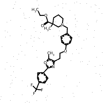 CCOC(=O)C1(C)CCCN(Cc2ccc(OCCc3nc(-c4ccc(C(F)(F)F)cc4)oc3C)cc2)C1